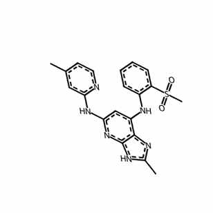 Cc1ccnc(Nc2cc(Nc3ccccc3S(C)(=O)=O)c3nc(C)[nH]c3n2)c1